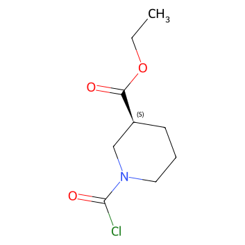 CCOC(=O)[C@H]1CCCN(C(=O)Cl)C1